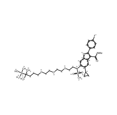 CNC(=O)c1c(-c2ccc(F)cc2)oc2cc(N(CCOCCOCCOCCCC(C)(C)[Si](C)(C)O)S(C)(=O)=O)c(C3CC3)cc12